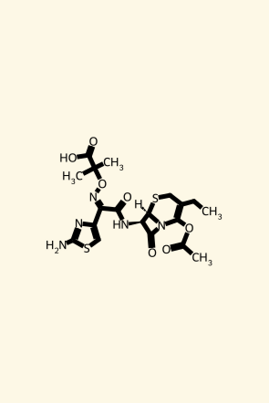 CCC1=C(OC(C)=O)N2C(=O)[C@@H](NC(=O)/C(=N\OC(C)(C)C(=O)O)c3csc(N)n3)[C@H]2SC1